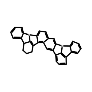 c1ccc2c(c1)C1CCCc3c1n-2c1ccc2cc4c(cc2c31)c1cccc2c3ccccc3n4c21